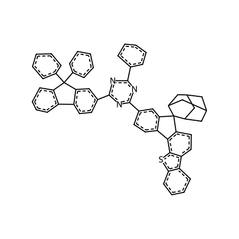 c1ccc(-c2nc(-c3ccc4c(c3)C(c3ccccc3)(c3ccccc3)c3ccccc3-4)nc(-c3ccc4c(c3)C3(c5ccc6c(sc7ccccc76)c5-4)C4CC5CC(C4)CC3C5)n2)cc1